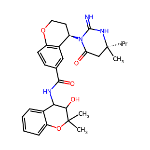 CC(C)[C@]1(C)CC(=O)N([C@@H]2CCOc3ccc(C(=O)NC4c5ccccc5OC(C)(C)C4O)cc32)C(=N)N1